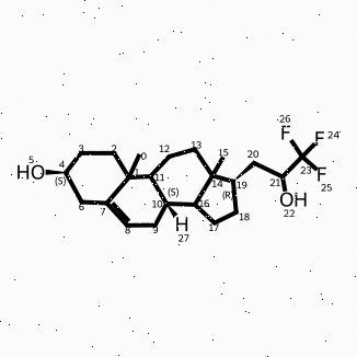 CC12CC[C@H](O)CC1=CC[C@@H]1C2CCC2(C)C1CC[C@@H]2CC(O)C(F)(F)F